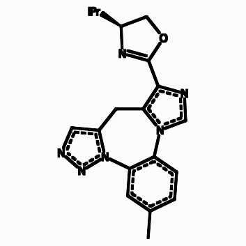 Cc1ccc2c(c1)-n1nncc1Cc1c(C3=N[C@@H](C(C)C)CO3)ncn1-2